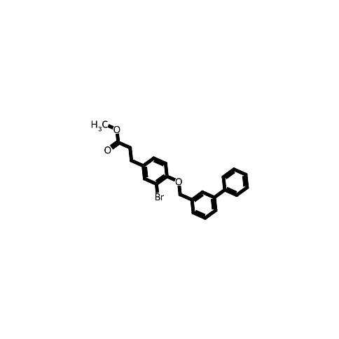 COC(=O)CCc1ccc(OCc2cccc(-c3ccccc3)c2)c(Br)c1